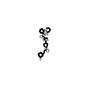 O=C(Nc1ccccc1N1CCCCC1)c1csc(C2CCN(C(=O)CCc3cccc(F)c3)CC2)n1